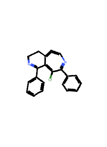 ClC1=C2C(=C=CN=C1c1ccccc1)CCN=C2c1ccccc1